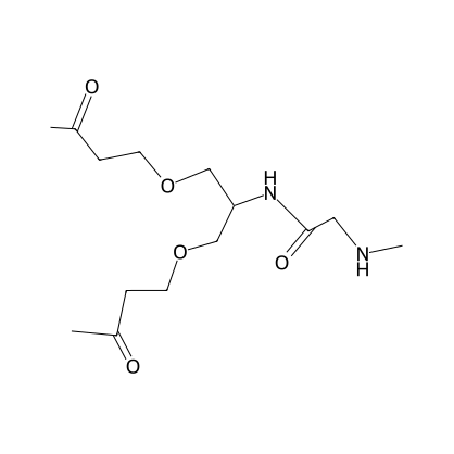 CNCC(=O)NC(COCCC(C)=O)COCCC(C)=O